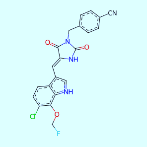 N#Cc1ccc(CN2C(=O)NC(=Cc3c[nH]c4c(OCF)c(Cl)ccc34)C2=O)cc1